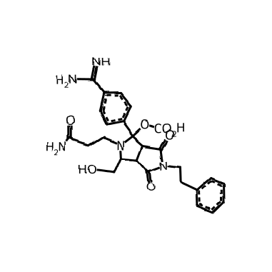 N=C(N)c1ccc(C2(OC(=O)O)C3C(=O)N(CCc4ccccc4)C(=O)C3C(CO)N2CCC(N)=O)cc1